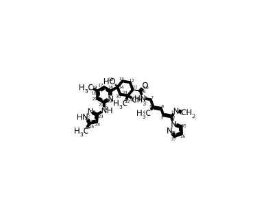 C=N/C(=C\C=C(/C)CNC(=O)[C@@H]1CC[C@@](O)(c2cc(C)cc(Nc3cc(C)[nH]n3)n2)CC1(C)C)n1cccn1